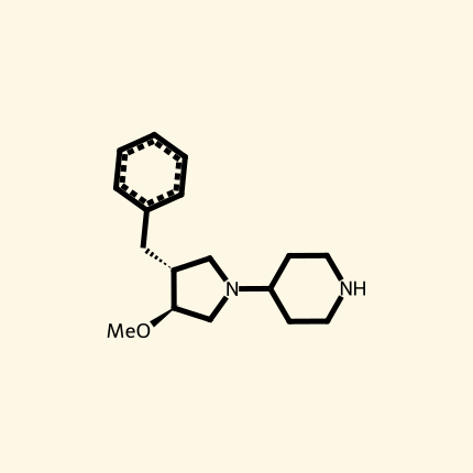 CO[C@@H]1CN(C2CCNCC2)C[C@H]1Cc1ccccc1